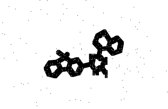 CC1(C)c2ccccc2-c2ccc(-c3nc(I)nc(-c4cccc5ccccc45)n3)cc21